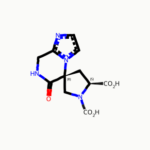 O=C(O)[C@@H]1C[C@@]2(CN1C(=O)O)C(=O)NCc1nccn12